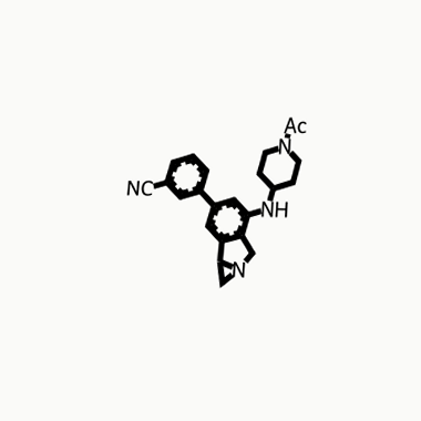 CC(=O)N1CCC(Nc2cc(-c3cccc(C#N)c3)cc3c2CN2CC32)CC1